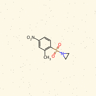 Cc1cc([N+](=O)[O-])ccc1S(=O)(=O)N1CC1